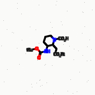 CCOC(=O)CC1C(NC(=O)OC(C)(C)C)CCCN1C(=O)O